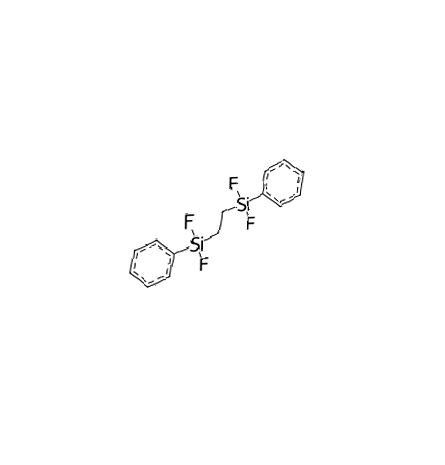 F[Si](F)(CC[Si](F)(F)c1ccccc1)c1ccccc1